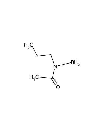 BN(CCC)C(C)=O